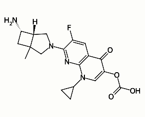 CC12C[C@H](N)[C@@H]1CN(c1nc3c(cc1F)c(=O)c(OC(=O)O)cn3C1CC1)C2